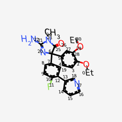 CCOc1ccc(C2(c3ccc(F)c(-c4cccnc4)c3)N=C(N)N(C)C2=O)cc1OCC